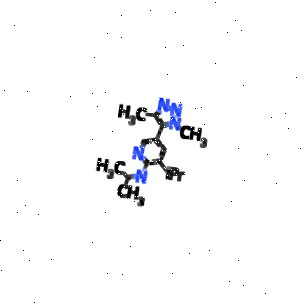 CC(C)=Nc1ncc(-c2c(C)nnn2C)cc1C(C)C